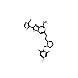 Nc1nc(CCC2CCCN2Cc2c(F)cc(F)cc2F)cn2nc(-c3occc3I)nc12